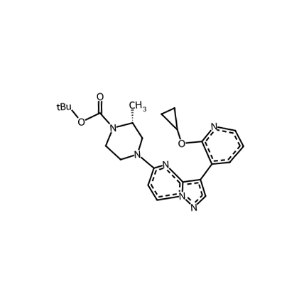 C[C@@H]1CN(c2ccn3ncc(-c4cccnc4OC4CC4)c3n2)CCN1C(=O)OC(C)(C)C